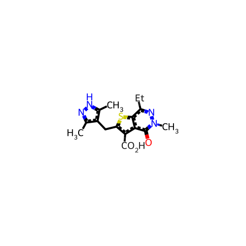 CCc1nn(C)c(=O)c2c(C(=O)O)c(Cc3c(C)n[nH]c3C)sc12